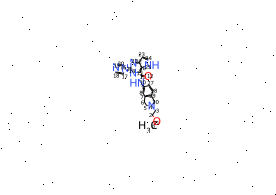 COCCN1CCc2cc(NC(=O)c3nc(-n4ccnc4)nc4cc[nH]c34)ccc2C1